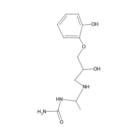 CC(NCC(O)COc1ccccc1O)NC(N)=O